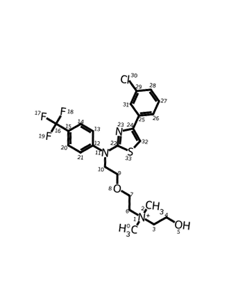 C[N+](C)(CCO)CCOCCN(c1ccc(C(F)(F)F)cc1)c1nc(-c2cccc(Cl)c2)cs1